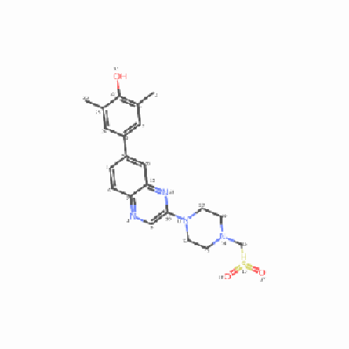 Cc1cc(-c2ccc3ncc(N4CCN(C[SH](=O)=O)CC4)nc3c2)cc(C)c1O